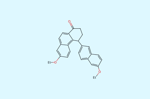 CCOc1ccc2cc(C3CCC(=O)c4ccc5cc(OCC)ccc5c43)ccc2c1